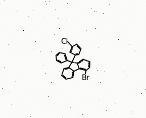 Clc1cccc(C2(c3ccccc3)c3ccccc3-c3c(Br)cccc32)c1